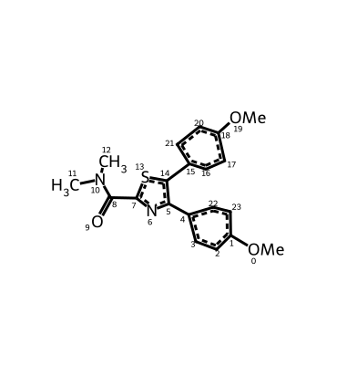 COc1ccc(-c2nc(C(=O)N(C)C)sc2-c2ccc(OC)cc2)cc1